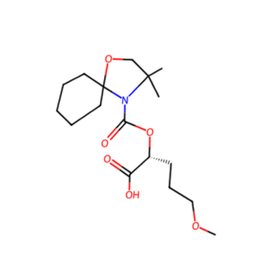 COCCC[C@@H](OC(=O)N1C(C)(C)COC12CCCCC2)C(=O)O